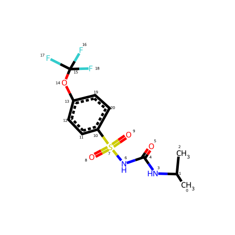 CC(C)NC(=O)NS(=O)(=O)c1ccc(OC(F)(F)F)cc1